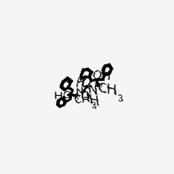 C[C@@H](NC(=O)C(=O)N[C@H](C)C(O)(Cc1ccccc1)Cc1ccccc1)C(O)(Cc1ccccc1)Cc1ccccc1